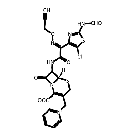 C#CCON=C(C(=O)NC1C(=O)N2C(C(=O)[O-])=C(C[n+]3ccccc3)CS[C@@H]12)c1nc(NC=O)sc1Cl